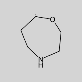 [CH]1CCNCCO1